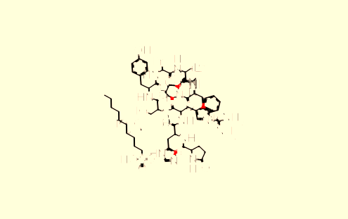 CC(=O)O.CCCCCCCCCCS(=O)(=O)O.CCNC(=O)C1CCCN1C(=O)C(CCCN=C(N)N)NC(=O)C(NC(=O)C(NC(=O)C(Cc1ccc(O)cc1)NC(=O)C(CO)NC(=O)C(Cc1c[nH]c2ccccc12)NC(=O)C(Cc1cnc[nH]1)NC(=O)C1CCC(=O)N1)C(C)C)C(C)C